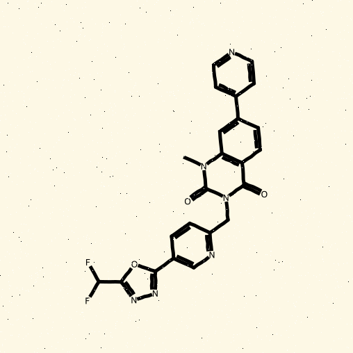 Cn1c(=O)n(Cc2ccc(-c3nnc(C(F)F)o3)cn2)c(=O)c2ccc(-c3ccncc3)cc21